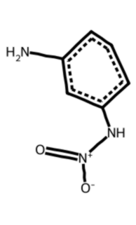 Nc1cccc(N[N+](=O)[O-])c1